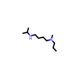 CCCN(C)CCCCNC(C)C